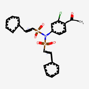 CC(=O)c1ccc(N(S(=O)(=O)/C=C/c2ccccc2)S(=O)(=O)/C=C/c2ccccc2)cc1Cl